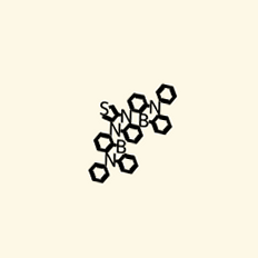 c1ccc(N2c3ccccc3B3c4ccc5c6c4N(c4cscc4N6c4cccc6c4B5c4ccccc4N6c4ccccc4)c4cccc2c43)cc1